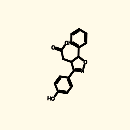 O=C(O)CC1C(c2ccc(O)cc2)=NOC1c1ccccc1